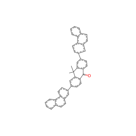 CC1(C)c2cc(-c3ccc4c(ccc5ccccc54)c3)ccc2C(=O)c2ccc(-c3ccc4c(ccc5ccccc54)c3)cc21